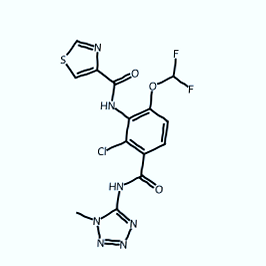 Cn1nnnc1NC(=O)c1ccc(OC(F)F)c(NC(=O)c2cscn2)c1Cl